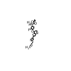 COCCn1cc(-c2cc3nccc(Oc4ccc(NC(=O)C5(C)CC5)cc4F)c3s2)cn1